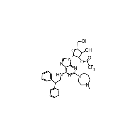 CN1CCCN(c2nc(NCC(c3ccccc3)c3ccccc3)c3ncn([C@@H]4O[C@H](CO)[C@@H](O)[C@H]4OC(=O)C(F)(F)F)c3n2)CC1